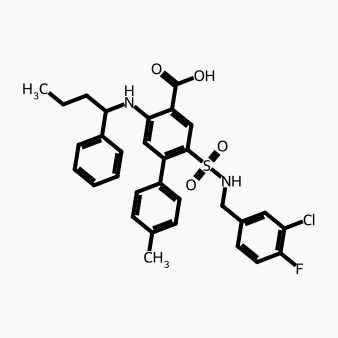 CCCC(Nc1cc(-c2ccc(C)cc2)c(S(=O)(=O)NCc2ccc(F)c(Cl)c2)cc1C(=O)O)c1ccccc1